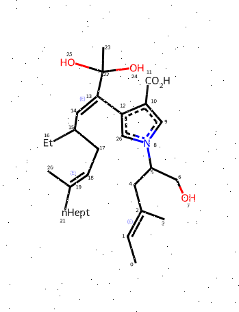 C/C=C(\C)CC(CO)n1cc(C(=O)O)c(/C(=C\C(CC)C/C=C(\C)CCCCCCC)C(C)(O)O)c1